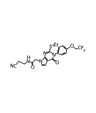 CCSc1nc2c(ccn2CC(=O)NCCC#N)c(=O)n1-c1ccc(OCC(F)(F)F)cc1